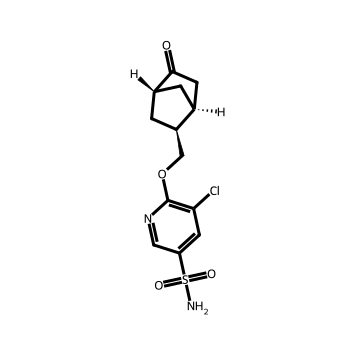 NS(=O)(=O)c1cnc(OC[C@H]2C[C@H]3C[C@H]2CC3=O)c(Cl)c1